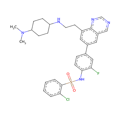 CN(C)C1CCC(NCCc2cc(-c3ccc(NS(=O)(=O)c4ccccc4Cl)c(F)c3)cc3cncnc23)CC1